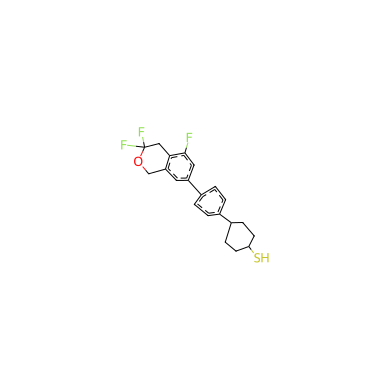 Fc1cc(-c2ccc(C3CCC(S)CC3)cc2)cc2c1CC(F)(F)OC2